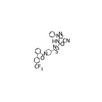 N#Cc1cnn(-c2ccccc2)c1NC(=O)c1csc(C2CCN(C(=O)c3ccccc3-c3ccc(C(F)(F)F)cc3)CC2)n1